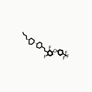 CCCC[C@H]1CC[C@H](C2CCC(CCc3c(F)c[c]c(Oc4ccc(C(F)(F)F)cc4)c3F)CC2)CC1